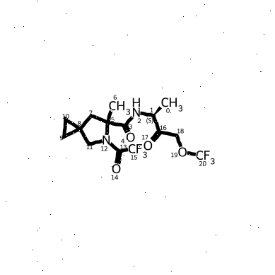 C[C@H](NC(=O)C1(C)CC2(CC2)CN1C(=O)C(F)(F)F)C(=O)COC(F)(F)F